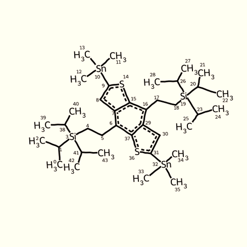 CC(C)[Si](CCc1c2c[c]([Sn]([CH3])([CH3])[CH3])sc2c(CC[Si](C(C)C)(C(C)C)C(C)C)c2c[c]([Sn]([CH3])([CH3])[CH3])sc12)(C(C)C)C(C)C